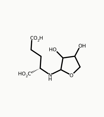 O=C(O)CC[C@H](NC1OCC(O)C1O)C(=O)O